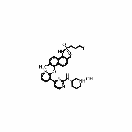 Cc1ccc2c(NS(=O)(=O)CCCF)c(F)ccc2c1Oc1ncccc1-c1ccnc(N[C@H]2CCCNC2)n1.Cl